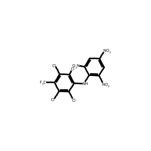 O=[N+]([O-])c1cc([N+](=O)[O-])c(Nc2c(Cl)c(Cl)c(C(F)(F)F)c(Cl)c2Cl)c([N+](=O)[O-])c1